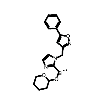 C[C@H](OC1CCCCO1)c1nccn1Cc1cc(-c2ccccc2)on1